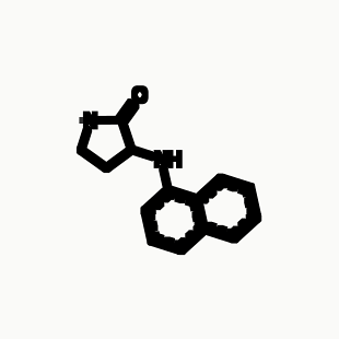 O=C1[N]CCC1Nc1cccc2ccccc12